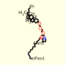 CCCCC/C=C\C/C=C\CCCCCCCCCCOCC(CN1CCC(OC)C1)OCCOCCO[C@H]1CC[C@@]2(C)C(=CC[C@H]3[C@@H]4CC[C@H]([C@H](C)CCCC(C)C)[C@@]4(C)CC[C@@H]32)C1